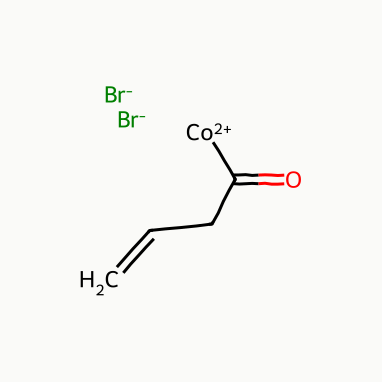 C=CC[C](=O)[Co+2].[Br-].[Br-]